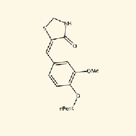 CCCCCOc1ccc(C=C2SCNC2=O)cc1OC